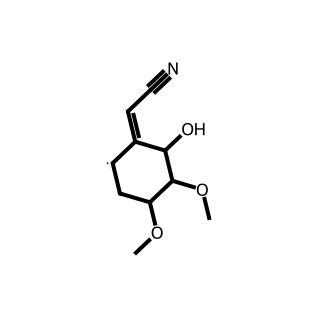 COC1C[CH]C(=CC#N)C(O)C1OC